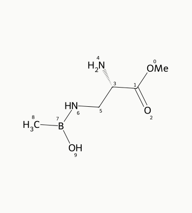 COC(=O)[C@@H](N)CNB(C)O